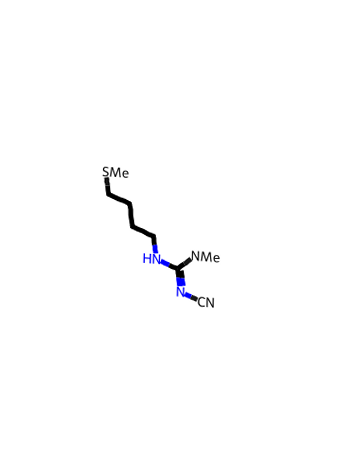 CN/C(=N\C#N)NCCCCSC